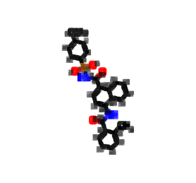 COc1ccc(S(=O)(=O)NC(=O)c2ccc(NC(=O)c3ccccc3C)c3ccccc23)cc1